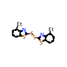 CCc1cccc2sc(SSc3nc4c(CC)cccc4s3)nc12